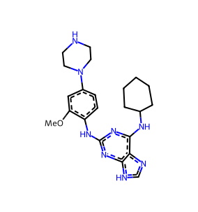 COc1cc(N2CCNCC2)ccc1Nc1nc(NC2CCCCC2)c2nc[nH]c2n1